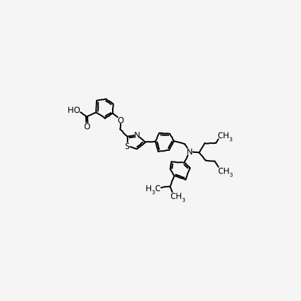 CCCC(CCC)N(Cc1ccc(-c2csc(COc3cccc(C(=O)O)c3)n2)cc1)c1ccc(C(C)C)cc1